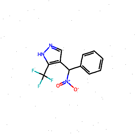 O=[N+]([O-])C(c1ccccc1)c1[c]n[nH]c1C(F)(F)F